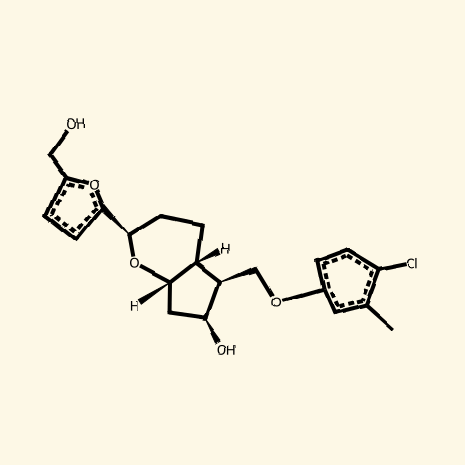 Cc1cc(OC[C@@H]2[C@H]3CC[C@H](c4ccc(CO)o4)O[C@H]3C[C@@H]2O)ccc1Cl